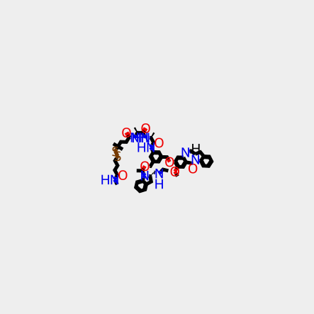 CCNC[C@@H]1Cc2ccccc2N1C(C)OCc1cc(COc2cc3c(cc2OC)C(=O)N2c4ccccc4C[C@H]2C=N3)cc(NC(=O)[C@H](C)NC(=O)[C@H](C)NC(=O)CCC(C)(C)SSCCCC(=O)NC)c1